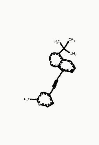 Cc1cc(C#Cc2cccc3c(C(C)(C)C)cccc23)ccn1